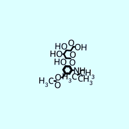 CC(=O)OCc1ccc(OC2OC(C(=O)O)C(O)C(O)C2O)c(NC(C)(C)C)c1